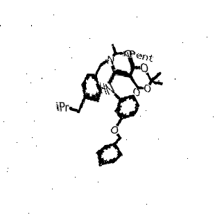 CCCCCC(C)N(Cc1ccc(CC(C)C)cc1)C(Nc1cccc(OCc2ccccc2)c1)=C1C(=O)OC(C)(C)OC1=O